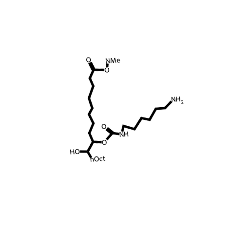 CCCCCCCCC(O)C(CCCCCCCC(=O)ONC)OC(=O)NCCCCCCN